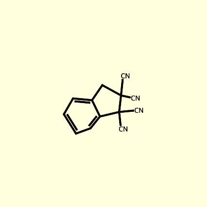 N#CC1(C#N)Cc2ccccc2C1(C#N)C#N